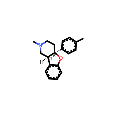 Cc1ccc([C@@]23CCN(C)C[C@@H]2c2ccccc2O3)cc1